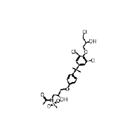 CC(=O)N(C[C@H](O)COc1ccc(C(C)(C)c2cc(Cl)c(OC[C@H](O)CCl)c(Cl)c2)cc1)S(C)(=O)=O